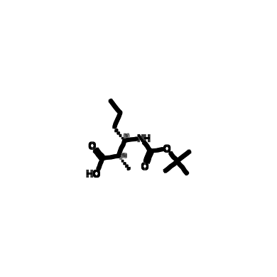 CCC[C@H](NC(=O)OC(C)(C)C)[C@H](C)C(=O)O